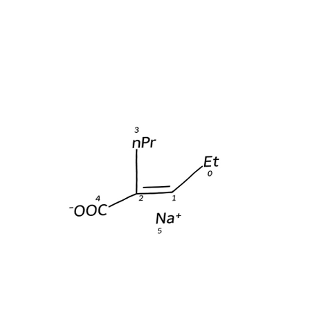 CC/C=C(\CCC)C(=O)[O-].[Na+]